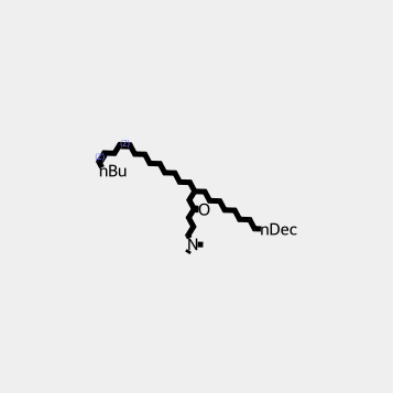 CCCC/C=C\C/C=C\CCCCCCCCC(CCCCCCCCCCCCCCCCCC)CC(=O)CCCN(C)C